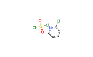 Clc1ccccn1.O=S(=O)(Cl)Cl